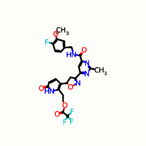 COc1cc(CNC(=O)c2cc(C3=NOC(c4ccc(=O)[nH]c4CCOC(=O)C(F)(F)F)C3)nc(C)n2)ccc1F